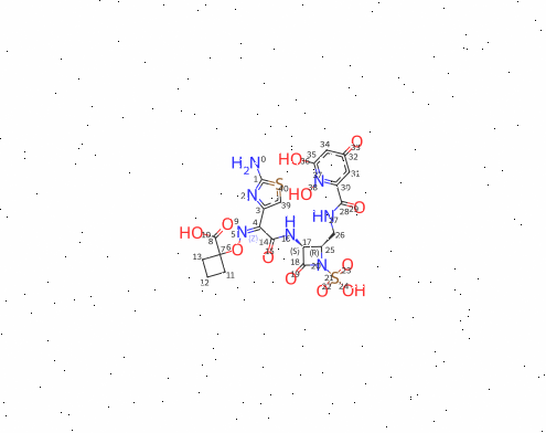 Nc1nc(/C(=N/OC2(C(=O)O)CCC2)C(=O)N[C@@H]2C(=O)N(S(=O)(=O)O)[C@@H]2CNC(=O)c2cc(=O)cc(O)n2O)cs1